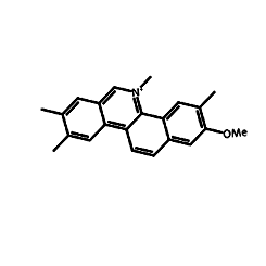 COc1cc2ccc3c4cc(C)c(C)cc4c[n+](C)c3c2cc1C